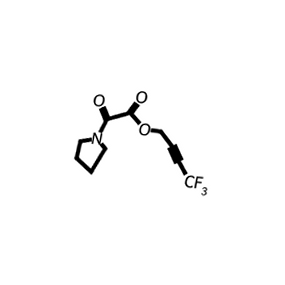 O=C(OCC#CC(F)(F)F)C(=O)N1CCCC1